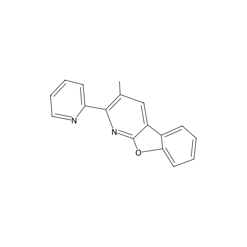 Cc1cc2c(nc1-c1ccccn1)oc1ccccc12